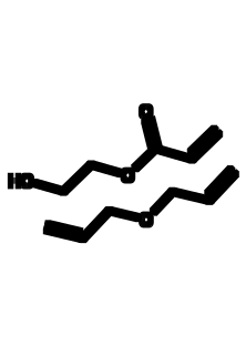 C=CC(=O)OCCO.C=CCOCC=C